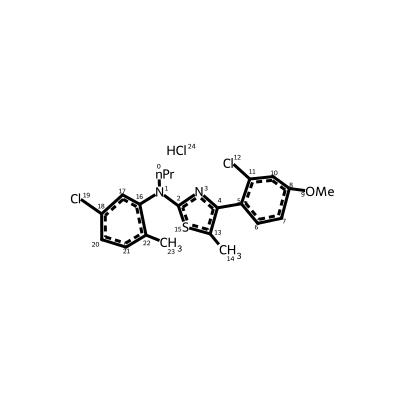 CCCN(c1nc(-c2ccc(OC)cc2Cl)c(C)s1)c1cc(Cl)ccc1C.Cl